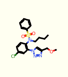 CCCCN(c1ccc(Cl)cc1-n1cc(COC)nn1)S(=O)(=O)c1ccccc1